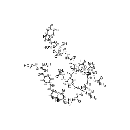 C/C1=C2N=C(/C=C3N=C(/C(C)=C4/[C@@H](CCC(N)=O)[C@](C)(CC(N)=O)[C@](C)([C@@H]5N=C1[C@](C)(CCC(=O)NCC(C)OP(=O)([O-])O[C@H]1[C@@H](O)[C@@H](n6cnc7cc(C)c(C)cc76)O[C@@H]1CO)[C@H]5CC(N)=O)[N]4[Co+][C]#N)[C@@](C)(CC(N)=O)[C@@H]\3CCC(N)=O)C(C)(C)[C@@H]/2CCC(N)=O.Nc1nc(=O)c2nc(CNc3ccc(C(=O)N[C@@H](CCC(=O)O)C(=O)O)cc3)cnc2[nH]1